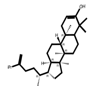 C=C(CC[C@@H](C)[C@H]1CC[C@@]2(C)[C@@H]1CC[C@@H]1[C@@]3(C)CC=C(O)C(C)(C)C3CC[C@]12C)C(C)C